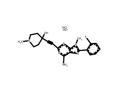 CN1CCC(O)(C#Cc2nc(N)c3nc(-c4ccccc4F)n(C)c3n2)CC1.Cl.Cl